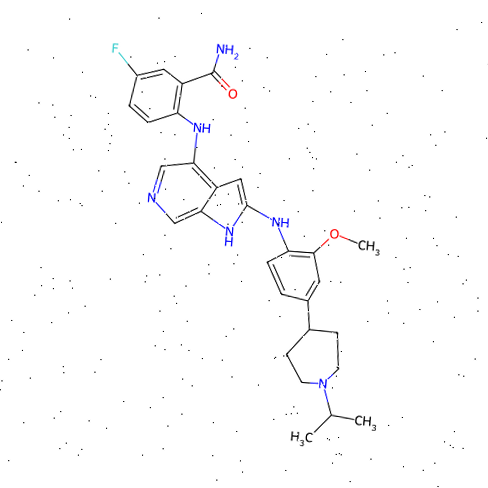 COc1cc(C2CCN(C(C)C)CC2)ccc1Nc1cc2c(Nc3ccc(F)cc3C(N)=O)cncc2[nH]1